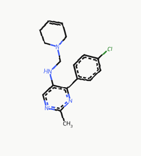 Cc1ncc(NCN2CC=CCC2)c(-c2ccc(Cl)cc2)n1